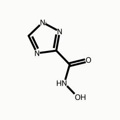 O=C(NO)C1=N[N]C=N1